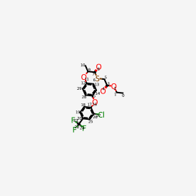 CCOC(=O)CSC(=O)C(C)Oc1ccc(Oc2ccc(C(F)(F)F)cc2Cl)cc1